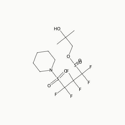 CC(C)(O)COS(=O)(=O)C(F)(F)C(F)(F)C(F)(F)S(=O)(=O)N1CCCCC1